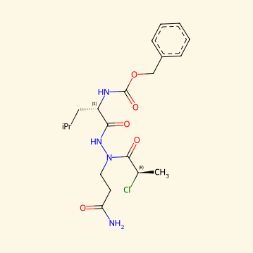 CC(C)C[C@H](NC(=O)OCc1ccccc1)C(=O)NN(CCC(N)=O)C(=O)[C@@H](C)Cl